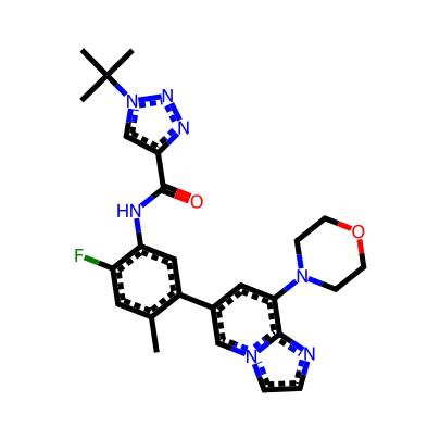 Cc1cc(F)c(NC(=O)c2cn(C(C)(C)C)nn2)cc1-c1cc(N2CCOCC2)c2nccn2c1